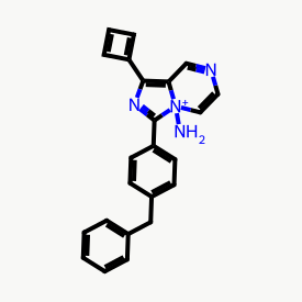 N[N+]12C=CN=CC1=C(C1=CC=C1)N=C2c1ccc(Cc2ccccc2)cc1